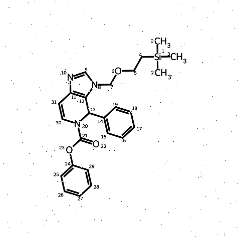 C[Si](C)(C)CCOCn1cnc2c1C(c1ccccc1)N(C(=O)Oc1ccccc1)C=C2